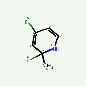 CC1(Cl)C=C(Cl)C=CN1